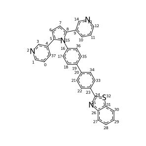 c1cncc(-c2ccc(-c3cccnc3)n2-c2ccc(-c3ccc(-c4nc5ccccc5s4)cc3)cc2)c1